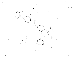 CC(=O)N1c2ccc(OC(=O)c3ccc(-c4ccccc4)cc3)cc2C(C)(c2ccccc2)CC1(C)C